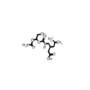 CCC(OC(C)=O)OC(=O)NCC(CC(=O)O)CC(C)C